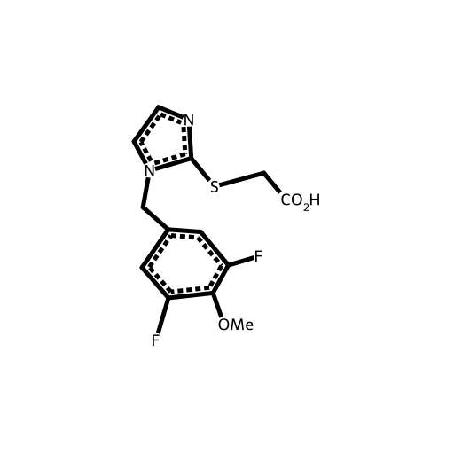 COc1c(F)cc(Cn2ccnc2SCC(=O)O)cc1F